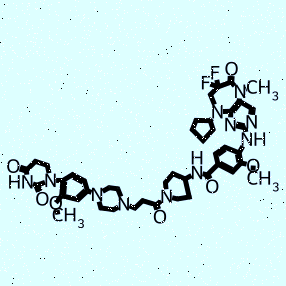 COc1cc(C(=O)NC2CCN(C(=O)CCN3CCN(c4ccc(N5CCC(=O)NC5=O)c(OC)c4)CC3)CC2)ccc1Nc1ncc2c(n1)N(C1CCCC1)CC(F)(F)C(=O)N2C